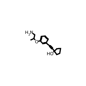 CC(CN)Oc1cccc(C#CC2(O)CCCC2)c1